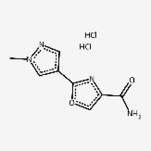 Cl.Cl.Cn1cc(-c2nc(C(N)=O)co2)cn1